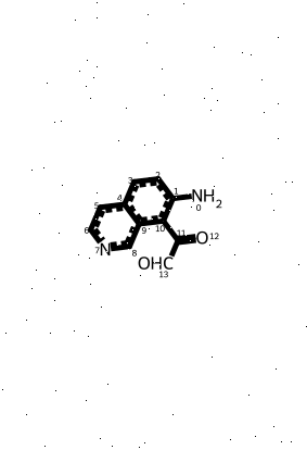 Nc1ccc2ccncc2c1C(=O)C=O